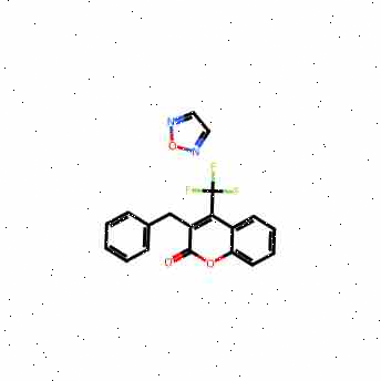 O=c1oc2ccccc2c(C(F)(F)F)c1Cc1ccccc1.c1cnon1